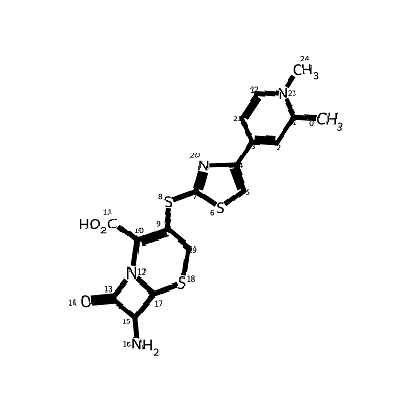 CC1C=C(c2csc(SC3=C(C(=O)O)N4C(=O)C(N)C4SC3)n2)C=CN1C